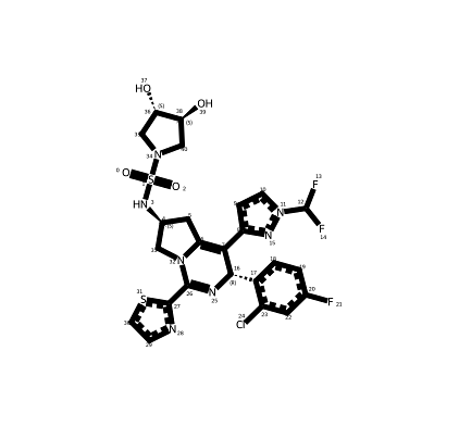 O=S(=O)(N[C@H]1CC2=C(c3ccn(C(F)F)n3)[C@H](c3ccc(F)cc3Cl)N=C(c3nccs3)N2C1)N1C[C@H](O)[C@@H](O)C1